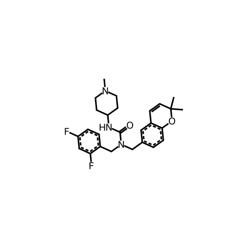 CN1CCC(NC(=O)N(Cc2ccc3c(c2)C=CC(C)(C)O3)Cc2ccc(F)cc2F)CC1